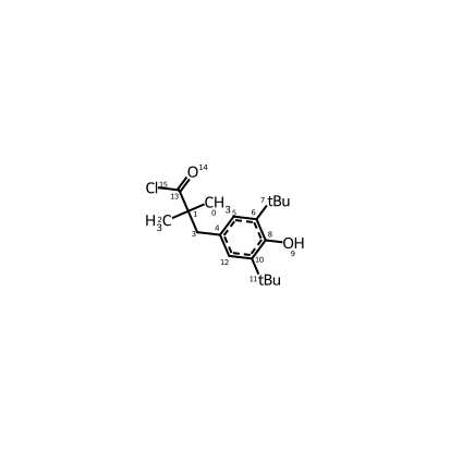 CC(C)(Cc1cc(C(C)(C)C)c(O)c(C(C)(C)C)c1)C(=O)Cl